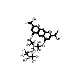 CN(C(O)(O)O)C(O)(O)O.CN(C(O)(O)O)C(O)(O)O.O=C(O)c1cc(=O)c2cc3c(=O)cc(C(=O)O)[nH]c3cc2[nH]1